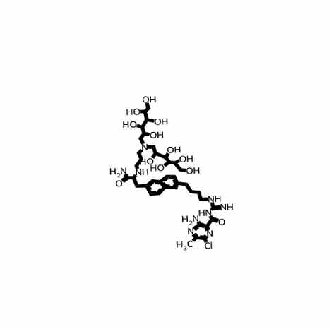 Cc1nc(N)c(C(=O)NC(=N)NCCCCc2ccc3cc(CC(NCCCN(CC(O)C(O)C(O)C(O)CO)CC(O)C(O)C(O)C(O)CO)C(N)=O)ccc3c2)nc1Cl